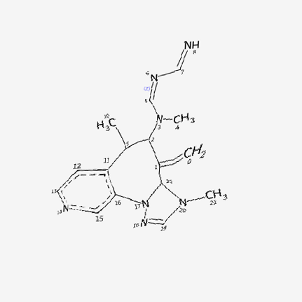 C=C1C(N(C)/C=N\C=N)C(C)c2ccncc2N2N=CN(C)C12